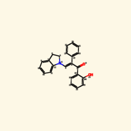 O=C(/C(=C/N1CCc2ccccc21)c1ccccc1)c1ccccc1O